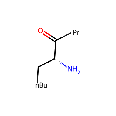 CCCCC[C@@H](N)C(=O)C(C)C